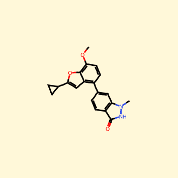 COc1ccc(-c2ccc3c(=O)[nH]n(C)c3c2)c2cc(C3CC3)oc12